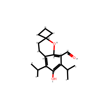 CC(C)c1c(O)c(C(C)C)c2c(c1C=O)OC1(CCC1)CC2